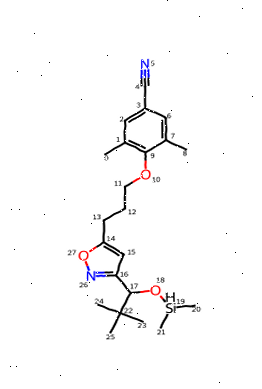 Cc1cc(C#N)cc(C)c1OCCCc1cc(C(O[SiH](C)C)C(C)(C)C)no1